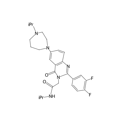 CC(C)NC(=O)Cn1c(-c2ccc(F)c(F)c2)nc2ccc(N3CCCN(C(C)C)CC3)cc2c1=O